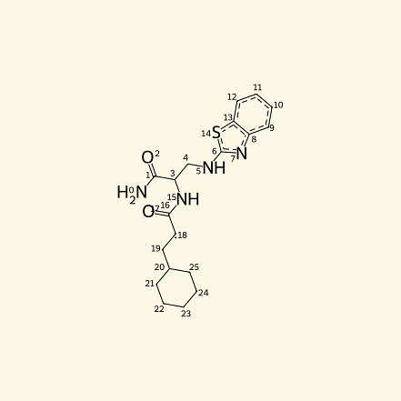 NC(=O)C(CNc1nc2ccccc2s1)NC(=O)[CH]CC1CCCCC1